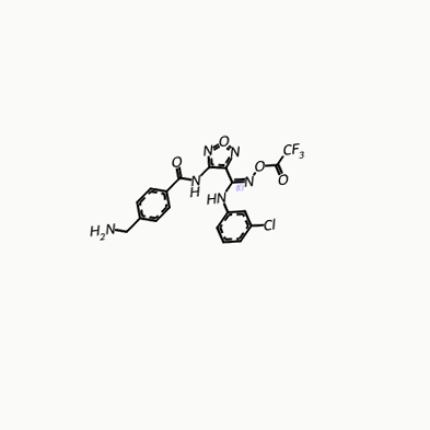 NCc1ccc(C(=O)Nc2nonc2/C(=N\OC(=O)C(F)(F)F)Nc2cccc(Cl)c2)cc1